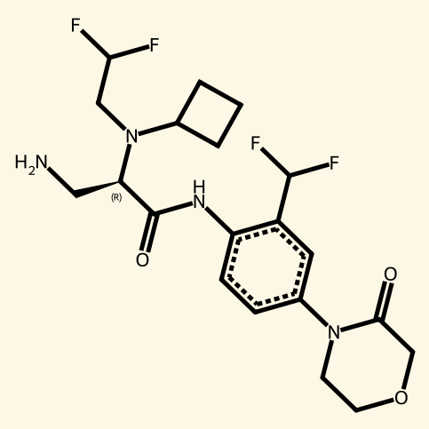 NC[C@H](C(=O)Nc1ccc(N2CCOCC2=O)cc1C(F)F)N(CC(F)F)C1CCC1